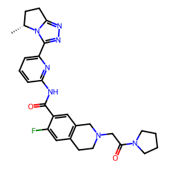 C[C@@H]1CCc2nnc(-c3cccc(NC(=O)c4cc5c(cc4F)CCN(CC(=O)N4CCCC4)C5)n3)n21